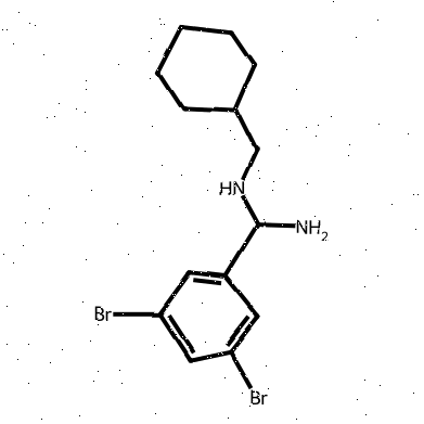 NC(NCC1CCCCC1)c1cc(Br)cc(Br)c1